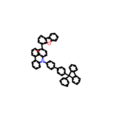 c1ccc(-c2ccccc2N(c2ccc(-c3ccc(C4(c5ccccc5)c5ccccc5-c5ccccc54)cc3)cc2)c2ccc(-c3cccc4c3oc3ccccc34)cc2)cc1